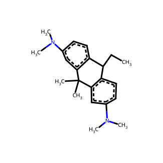 CCC1c2ccc(N(C)C)cc2C(C)(C)c2cc(N(C)C)ccc21